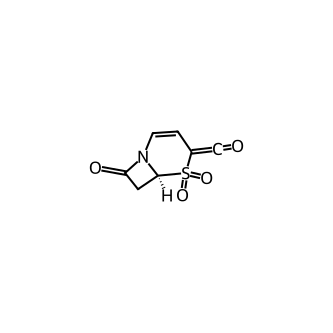 O=C=C1C=CN2C(=O)C[C@@H]2S1(=O)=O